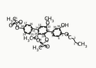 CCCCOc1ccc(-c2c(OC)cc(-c3ccc(OS(C)(=O)=O)cc3)c(OC)c2OS(C)(=O)=O)cc1O